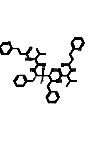 CC(C)[C@H](NC(=O)CCc1ccccn1)C(=O)N[C@@H](Cc1ccccc1)[C@@H](O)C(F)(F)[C@H](Cc1ccccc1)NC(=O)[C@@H](NC(=O)CCc1ccccn1)C(C)C